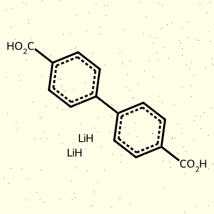 O=C(O)c1ccc(-c2ccc(C(=O)O)cc2)cc1.[LiH].[LiH]